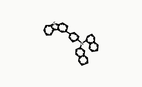 c1ccc2cc(N(c3ccc(-c4ccc5sc6ccccc6c5c4)cc3)c3cccc4ccccc34)ccc2c1